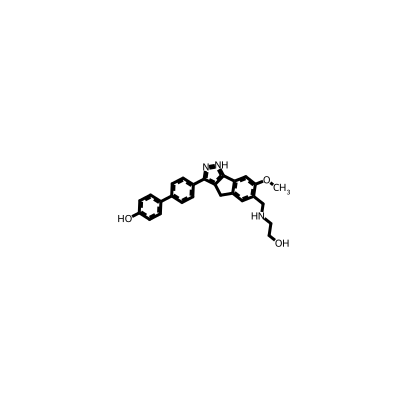 COc1cc2c(cc1CNCCO)Cc1c(-c3ccc(-c4ccc(O)cc4)cc3)n[nH]c1-2